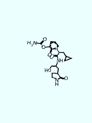 NC(=O)Oc1cccn(C(CC2CC2)C(=O)NC(CO)CC2CCNC2=O)c1=O